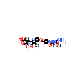 CCCC[C@H](NC(=O)CN)C(=O)Nc1ccc(COc2ccc3nc4c(c(CC)c3c2)CN2C4=CC3=C(COC(=O)[C@]3(O)CC)C2O)cc1